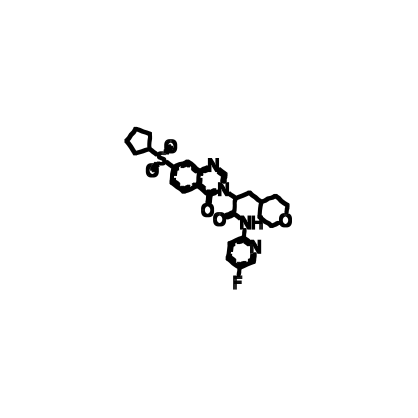 O=C(Nc1ccc(F)cn1)C(CC1CCOCC1)n1cnc2cc(S(=O)(=O)C3CCCC3)ccc2c1=O